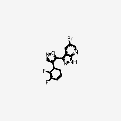 FC1=C(F)C(c2cnoc2-c2n[nH]c3ncc(Br)cc23)CC=C1